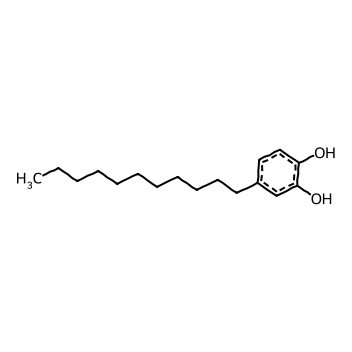 CCCCCCCCCCCc1ccc(O)c(O)c1